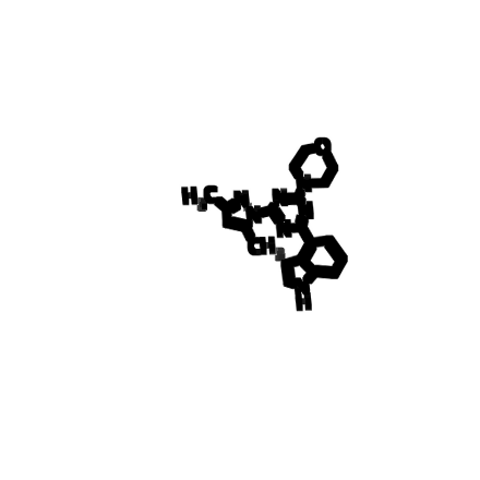 Cc1cc(C)n(-c2nc(-c3cccc4[nH]ccc34)nc(N3CCOCC3)n2)n1